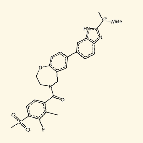 CN[C@@H](C)c1nc2ccc(-c3ccc4c(c3)CN(C(=O)c3ccc(S(C)(=O)=O)c(F)c3C)CCO4)cc2[nH]1